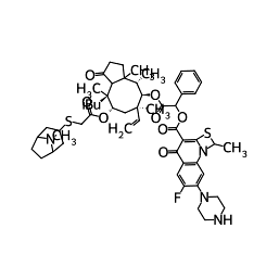 C=C[C@@]1(C)C[C@H](OC(=O)CSC2CC3CCC(C2)N3C)[C@@](C)(C(C)CC)C2C(=O)CCC2(C)[C@H](C)[C@H]1OC(=O)C(OC(=O)c1c2n(c3cc(N4CCNCC4)c(F)cc3c1=O)C(C)S2)c1ccccc1